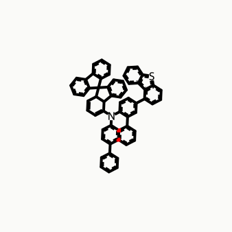 C1=CC2C(C(N(c3ccc(-c4ccccc4)cc3)c3ccc(-c4cccc5sc6ccccc6c45)cc3-c3ccccc3)=C1)c1ccccc1C21c2ccccc2-c2ccccc21